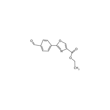 CCOC(=O)c1coc(-c2ccc(C=O)cc2)n1